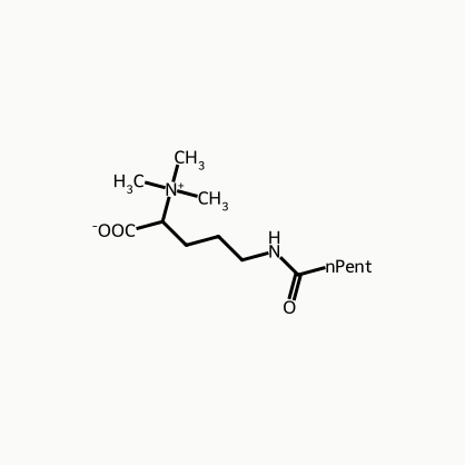 CCCCCC(=O)NCCCC(C(=O)[O-])[N+](C)(C)C